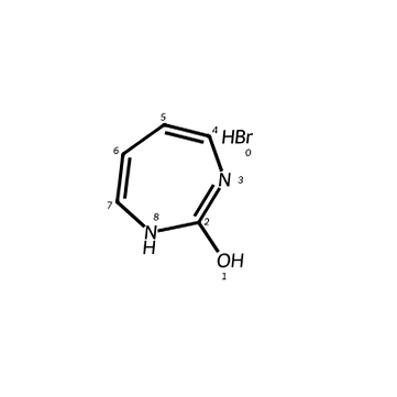 Br.OC1=NC=CC=CN1